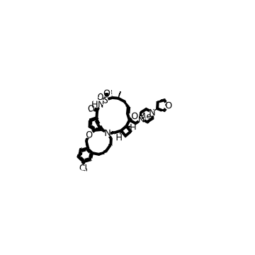 COC1(CN2CCN([C@@H]3CCOC3)CC2)/C=C/C[C@H](C)[C@@H](C)S(=O)(=O)NC(=O)c2ccc3c(c2)N(CCCCc2cc(Cl)ccc2CO3)C[C@@H]2CC[C@H]21